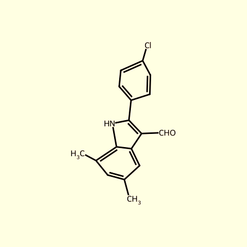 Cc1cc(C)c2[nH]c(-c3ccc(Cl)cc3)c(C=O)c2c1